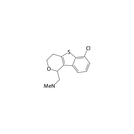 CNCC1OCCc2sc3c(Cl)cccc3c21